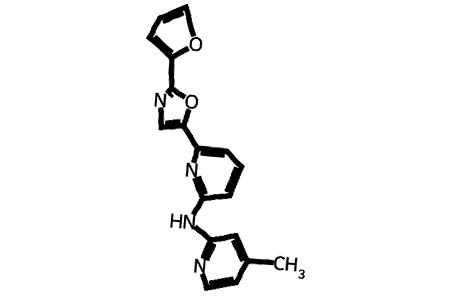 Cc1ccnc(Nc2cccc(-c3cnc(-c4ccco4)o3)n2)c1